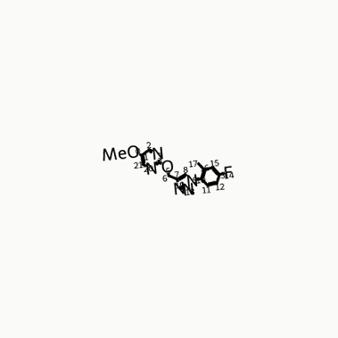 COc1cnc(OCc2cn(-c3ccc(F)cc3C)nn2)nc1